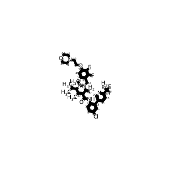 C=C1C(C(=O)Nc2ccc(Cl)cc2-c2ccc(C(F)(F)P)nc2)=C(C)C(C(C)C)N(C)N1Cc1ccc(OCCN2CCOCC2)c(F)c1F